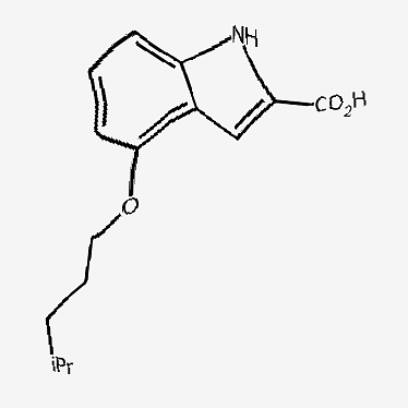 CC(C)CCCOc1cccc2[nH]c(C(=O)O)cc12